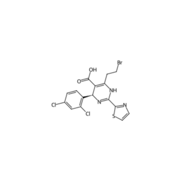 O=C(O)C1=C(CCBr)NC(c2nccs2)=N[C@H]1c1ccc(Cl)cc1Cl